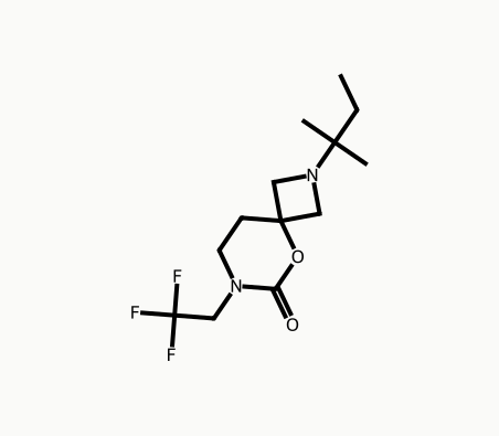 CCC(C)(C)N1CC2(CCN(CC(F)(F)F)C(=O)O2)C1